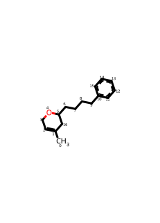 CC1=CCOC(CCCCc2ccccc2)C1